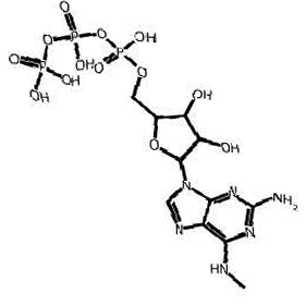 CNc1nc(N)nc2c1ncn2C1OC(COP(=O)(O)OP(=O)(O)OP(=O)(O)O)C(O)C1O